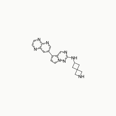 c1cnc2ncc(-c3ccn4nc(NC5CC6(CNC6)C5)ncc34)cc2n1